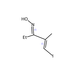 CCC(=N\O)/C(C)=C/I